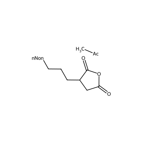 CC(C)=O.CCCCCCCCCCCCC1CC(=O)OC1=O